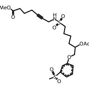 COC(=O)CCCC#CCNS(=O)(=O)CCCCC(COc1cccc(S(C)(=O)=O)c1)OC(C)=O